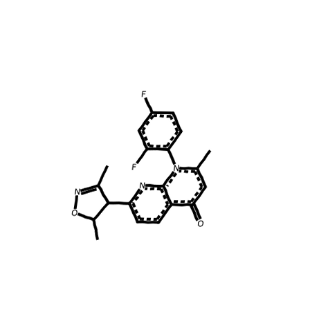 CC1=NOC(C)C1c1ccc2c(=O)cc(C)n(-c3ccc(F)cc3F)c2n1